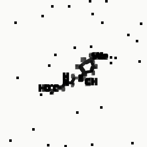 CSc1ccc(SCCNCC(=O)O)cc1.Cl